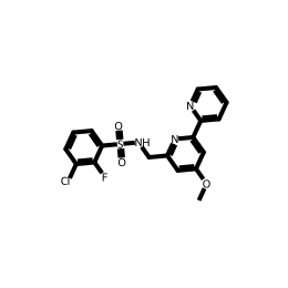 COc1cc(CNS(=O)(=O)c2cccc(Cl)c2F)nc(-c2ccccn2)c1